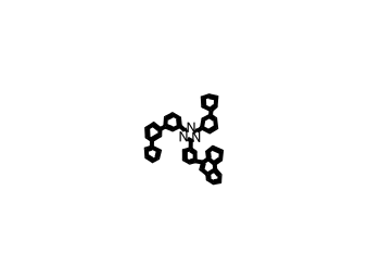 C1=CC(c2nc(-c3cccc(-c4cccc(-c5ccccc5)c4)c3)nc(-c3cccc(-c4cc5ccccc5c5ccccc45)c3)n2)CC(c2ccccc2)=C1